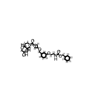 O=C1CO[C@H]2CCN(C(=O)N3CC(OCc4cccc(OCCNC(=O)OCc5ccccc5)c4)C3)C[C@H]2N1